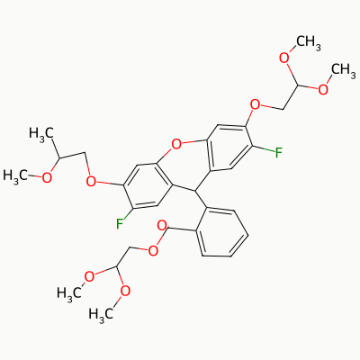 COC(C)COc1cc2c(cc1F)C(c1ccccc1C(=O)OCC(OC)OC)c1cc(F)c(OCC(OC)OC)cc1O2